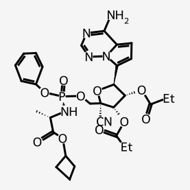 CCC(=O)O[C@H]1[C@H](c2ccc3c(N)ncnn23)O[C@](C#N)(CO[P@@](=O)(N[C@@H](C)C(=O)OC2CCC2)Oc2ccccc2)[C@H]1OC(=O)CC